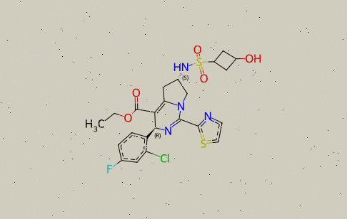 CCOC(=O)C1=C2C[C@H](NS(=O)(=O)C3CC(O)C3)CN2C(c2nccs2)=N[C@H]1c1ccc(F)cc1Cl